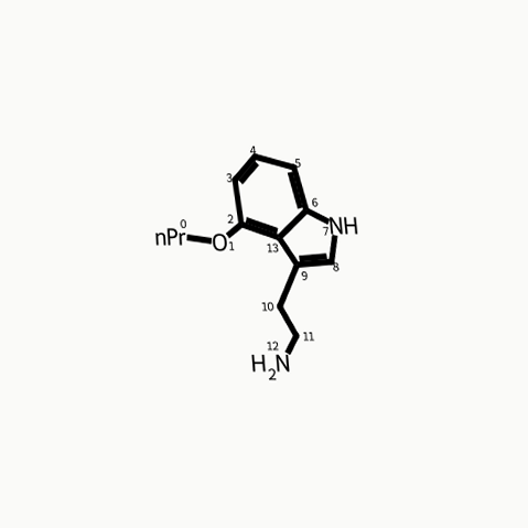 CCCOc1cccc2[nH]cc(CCN)c12